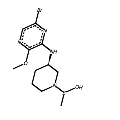 COc1ncc(Br)nc1N[C@@H]1CCCN(B(C)O)C1